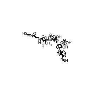 CC(C)(COP(=O)(O)OP(=O)(O)OC[C@H]1O[C@@H](n2cnc3c(N=N)ncnc32)[C@H](O)[C@@H]1OP(=O)(O)O)[C@@H](O)C(=O)NCCC(=O)NCCS